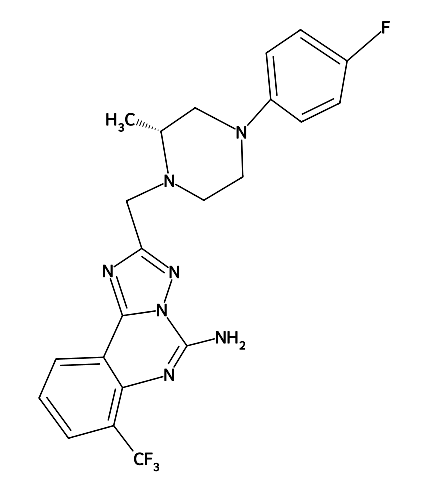 C[C@@H]1CN(c2ccc(F)cc2)CCN1Cc1nc2c3cccc(C(F)(F)F)c3nc(N)n2n1